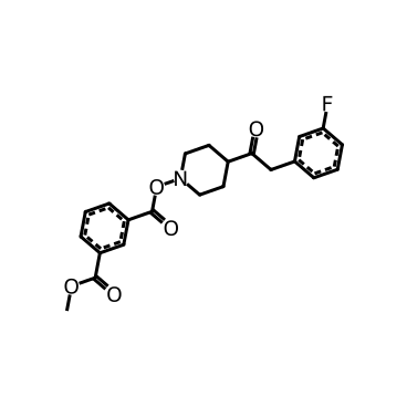 COC(=O)c1cccc(C(=O)ON2CCC(C(=O)Cc3cccc(F)c3)CC2)c1